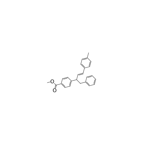 COC(=O)c1ccc(C(C=Cc2ccc(C)cc2)Cc2ccccc2)cc1